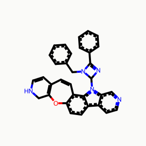 C1=CC2=C(CN1)Oc1ccc3c4ccncc4n(C4N=C(c5ccccc5)N4Cc4ccccc4)c3c1C=C2